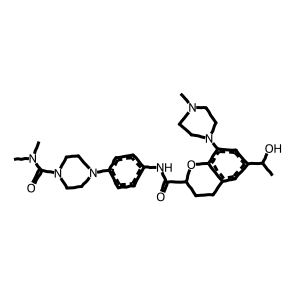 CC(O)c1cc2c(c(N3CCN(C)CC3)c1)OC(C(=O)Nc1ccc(N3CCN(C(=O)N(C)C)CC3)cc1)CC2